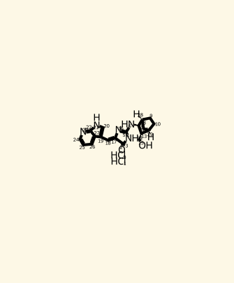 Cl.Cl.O=C1NC(N[C@H]2[C@H]3CC[C@H](C3)[C@H]2CO)=N/C1=C\c1c[nH]c2ncccc12